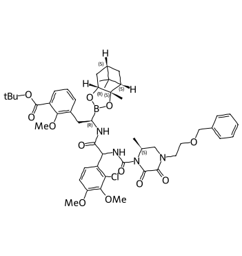 COc1ccc(C(NC(=O)N2C(=O)C(=O)N(CCOCc3ccccc3)C[C@@H]2C)C(=O)N[C@@H](Cc2cccc(C(=O)OC(C)(C)C)c2OC)B2O[C@@H]3C[C@@H]4C[C@@H](C4(C)C)[C@]3(C)O2)c(Cl)c1OC